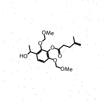 C=C(C)CCC(=O)Oc1c(OCOC)ccc(C(C)O)c1OCOC